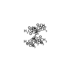 Cc1c(-c2ccccc2)c(C)c(-c2cccc(N(c3ccc(-c4ccc(N(c5cccc(-c6c(C)c(-c7ccccc7)c(C)c(-c7ccccc7)c6C)c5)c5cccc(-c6c(C)c(-c7ccccc7)c(C)c(-c7ccccc7)c6C)c5)cc4)cc3)c3cccc(-c4c(C)c(-c5ccccc5)c(C)c(-c5ccccc5)c4C)c3)c2)c(C)c1-c1ccccc1